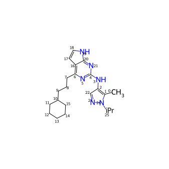 Cc1c(Nc2nc(CCCC3CCCCC3)c3cc[nH]c3n2)cnn1C(C)C